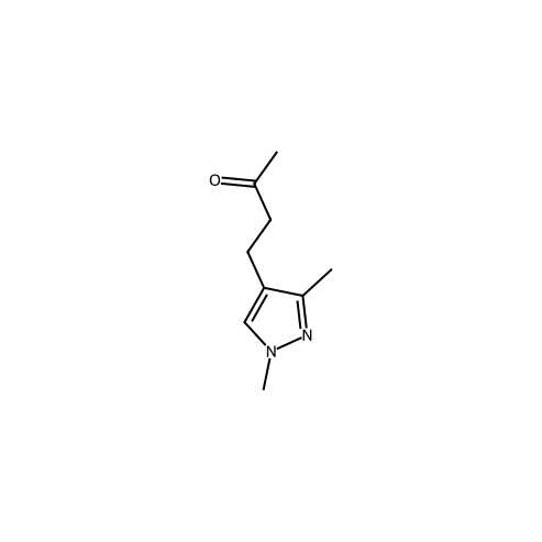 CC(=O)CCc1cn(C)nc1C